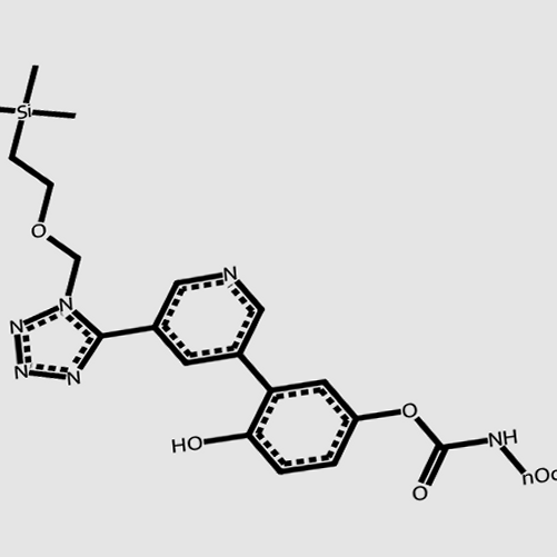 CCCCCCCCNC(=O)Oc1ccc(O)c(-c2cncc(-c3nnnn3COCC[Si](C)(C)C)c2)c1